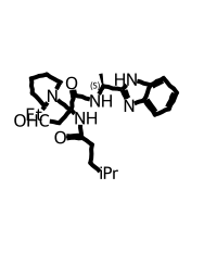 CCC1CCCCN1C(CC=O)(NC(=O)CCC(C)C)C(=O)N[C@@H](C)c1nc2ccccc2[nH]1